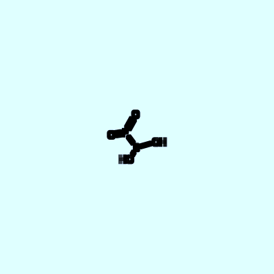 O=P(=O)B(O)O